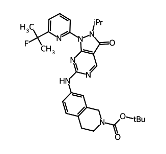 CC(C)n1c(=O)c2cnc(Nc3ccc4c(c3)CN(C(=O)OC(C)(C)C)CC4)nc2n1-c1cccc(C(C)(C)F)n1